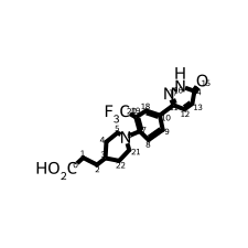 O=C(O)CCC1CCN(c2ccc(-c3ccc(=O)[nH]n3)cc2C(F)(F)F)CC1